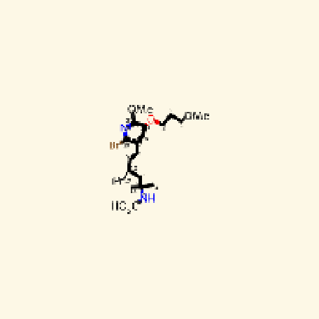 COCCCOc1cc(CC[C@@H](CC(C)(C)NC(=O)O)C(C)C)c(Br)nc1OC